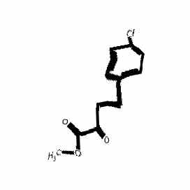 COC(=O)C(=O)C=Cc1ccc(Cl)cc1